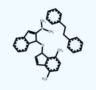 Cc1ccc(C)c2c1C=C[CH]2[Ti][CH]1C(P(C)C)=Cc2ccccc21.c1ccc(CCc2ccccc2)cc1